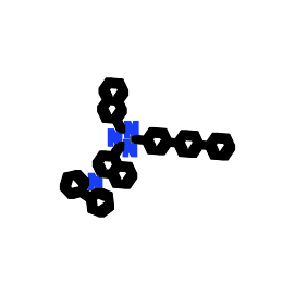 c1ccc(-c2ccc(-c3ccc(-c4nc(-c5ccc6ccccc6c5)nc(-c5ccc(-n6c7ccccc7c7ccccc76)c6ccccc56)n4)cc3)cc2)cc1